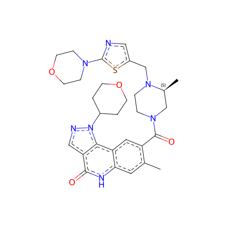 Cc1cc2[nH]c(=O)c3cnn(C4CCOCC4)c3c2cc1C(=O)N1CCN(Cc2cnc(N3CCOCC3)s2)[C@@H](C)C1